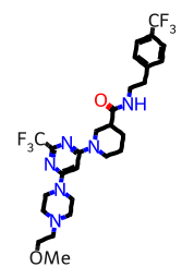 COCCN1CCN(c2cc(N3CCCC(C(=O)NCCc4ccc(C(F)(F)F)cc4)C3)nc(C(F)(F)F)n2)CC1